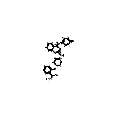 NC(=O)c1ccccc1C[C@H]1CC[C@H](Nc2nc(Nc3ccc(Cl)cc3)c3ccccc3n2)CC1